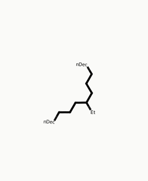 CCCCCCCCCCCCCC(CC)CCCCCCCCCCCCC